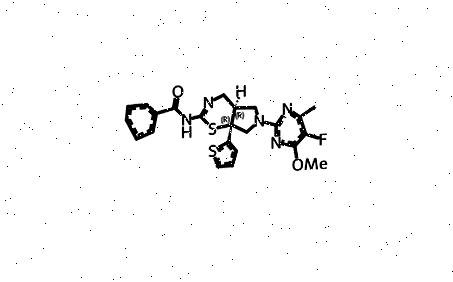 COc1nc(N2C[C@@H]3CN=C(NC(=O)c4ccccc4)S[C@@]3(c3cccs3)C2)nc(C)c1F